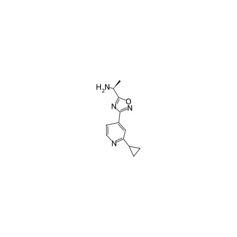 C[C@H](N)c1nc(-c2ccnc(C3CC3)c2)no1